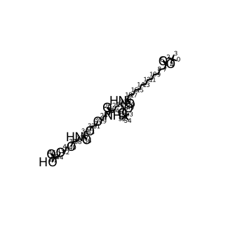 CC(C)(C)OC(=O)CCCCCCCCCCCCC(=O)N[C@@H](CCC(=O)NCCOCCOCC(=O)NCCOCCOCC(=O)O)C(=O)OC(C)(C)C